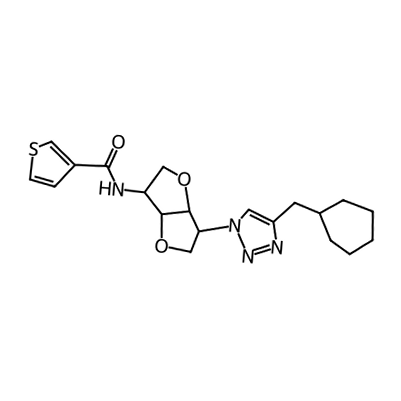 O=C(NC1COC2C1OCC2n1cc(CC2CCCCC2)nn1)c1ccsc1